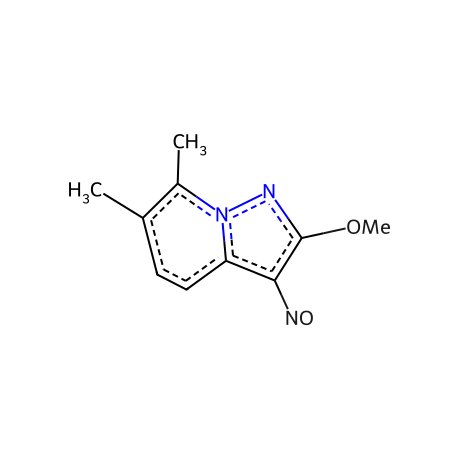 COc1nn2c(C)c(C)ccc2c1N=O